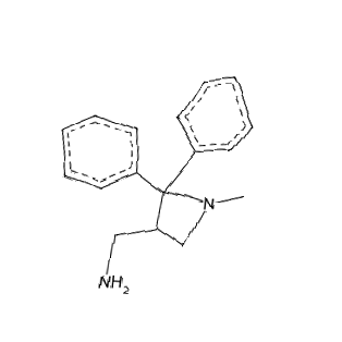 CN1CC(CN)C1(c1ccccc1)c1ccccc1